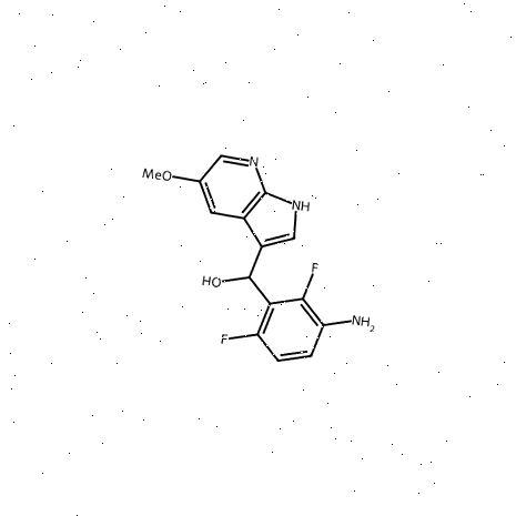 COc1cnc2[nH]cc(C(O)c3c(F)ccc(N)c3F)c2c1